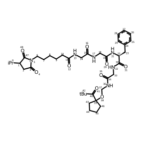 CC(C)C1CC(=O)N(CCCCCC(=O)NCC(=O)NCC(=O)N[C@@H](Cc2ccccc2)C(=O)NCC(=O)NCOC2(C(=O)C(C)(C)C)CCCC2)C1=O